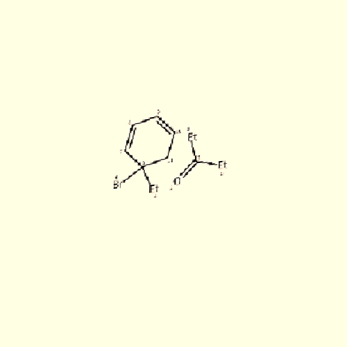 CCC(=O)CC.CCC1(Br)C=CC=CC1